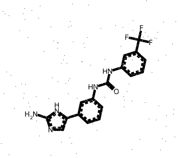 Nc1ncc(-c2cccc(NC(=O)Nc3cccc(C(F)(F)F)c3)c2)[nH]1